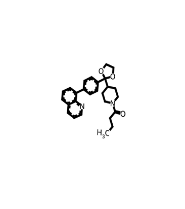 CCCC(=O)N1CCC(C2(c3ccc(-c4cccc5cccnc45)cc3)OCCO2)CC1